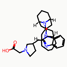 O=C(O)CN1CCC(Cc2nc3ccccc3n2C2C[C@H]3CCC[C@@H](C2)N3C2C[C@H]3CCCC[C@@H](C2)C3)C1